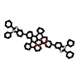 c1ccc(-c2ccccc2-c2c3ccc(-c4ccc5c(c4)nc(-c4ccccc4)n5-c4ccccc4)cc3c(-c3ccccc3-c3ccccc3)c3ccc(-c4ccc(-c5ccc6c(c5)nc(-c5ccccc5)n6-c5ccccc5)cc4)cc23)cc1